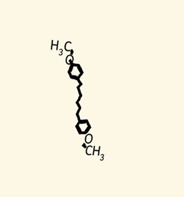 CCOc1ccc(CCCCCCc2ccc(OCC)cc2)cc1